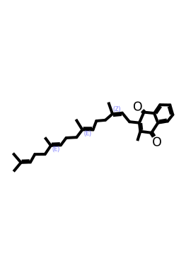 CC(C)=CCC/C(C)=C/CC/C(C)=C/CC/C(C)=C\CC1=C(C)C(=O)c2ccccc2C1=O